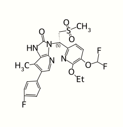 CCOc1nc([C@@H](CS(C)(=O)=O)n2c(=O)[nH]c3c(C)c(-c4ccc(F)cc4)cnc32)ccc1OC(F)F